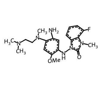 COc1cc(N(C)CCN(C)C)c(N)cc1Nn1c(=O)n(C)c2c(F)cccc21